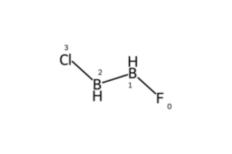 FBBCl